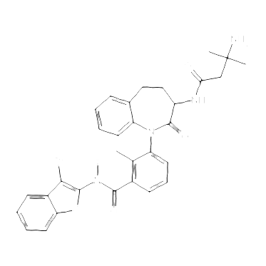 CCN(C(=O)c1cccc(N2C(=O)C(NC(=O)CC(C)(C)N)CCc3ccccc32)c1C)c1oc2ccccc2c1Br